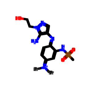 CC(C)[N+](=C1C=CC(=Nc2cnn(CCO)c2N)C(NS(C)(=O)=O)=C1)C(C)C